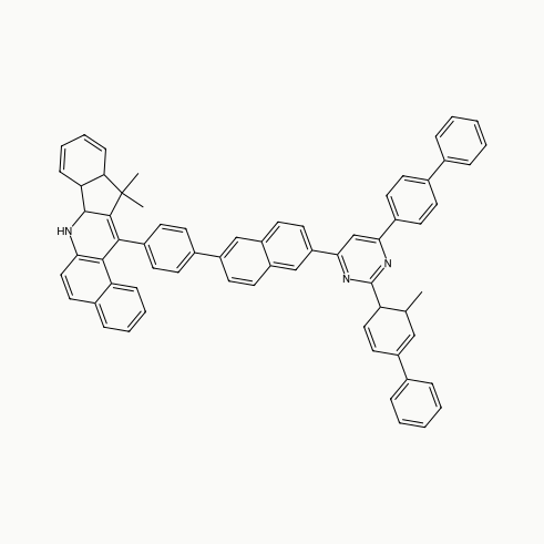 CC1C=C(c2ccccc2)C=CC1c1nc(-c2ccc(-c3ccccc3)cc2)cc(-c2ccc3cc(-c4ccc(C5=C6C(Nc7ccc8ccccc8c75)C5C=CC=CC5C6(C)C)cc4)ccc3c2)n1